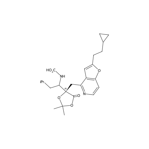 CC(C)CC(NC(=O)O)[C@@]1(Cc2nccc3oc(CCC4CC4)cc23)OC(C)(C)OC1=O